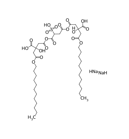 CCCCCCCCCCCCOC(=O)CC(O)(CC(=O)OC(=O)CC(C(=O)OC(=O)CC(O)(CC(=O)OCCCCCCCCCCCC)C(=O)O)S(=O)(=O)O)C(=O)O.[NaH].[NaH]